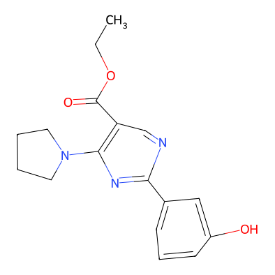 CCOC(=O)c1cnc(-c2cccc(O)c2)nc1N1CCCC1